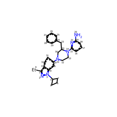 CCc1nn(C2CCC2)c2cc(N3CCN(c4cccc(N)n4)C(Cc4ccccc4)C3)ccc12